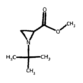 COC(=O)C1CN1C(C)(C)C